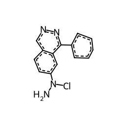 NN(Cl)c1ccc2cnnc(-c3ccccc3)c2c1